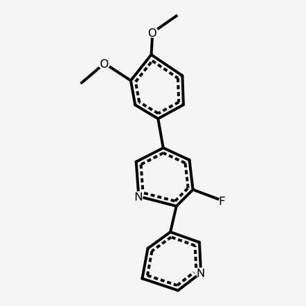 COc1ccc(-c2cnc(-c3cccnc3)c(F)c2)cc1OC